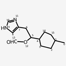 CC1CCC(C(Cc2c[nH]cn2)OC=O)CC1